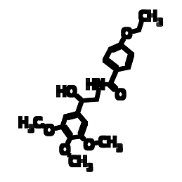 CCOc1ccc(C(=O)NCC(O)c2cc(OC)c(OC)c(OC)c2)cc1